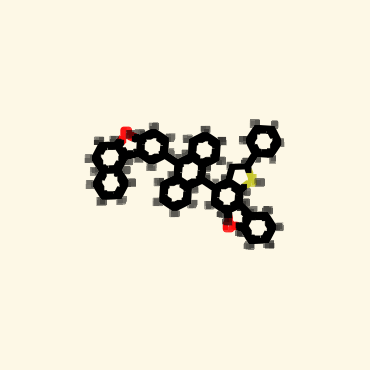 c1ccc(C2Cc3c(-c4c5ccccc5c(-c5ccc6oc7ccc8ccccc8c7c6c5)c5ccccc45)cc4oc5ccccc5c4c3S2)cc1